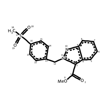 COC(=O)c1c2ccccc2nn1Cc1ccc(S(C)(=O)=O)cc1